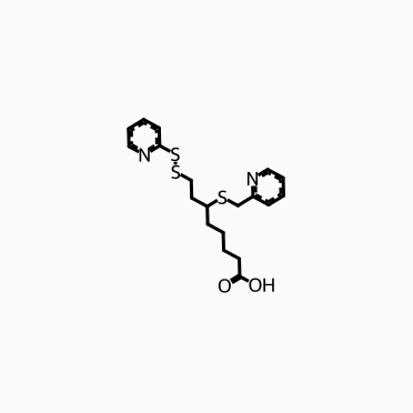 O=C(O)CCCCC(CCSSc1ccccn1)SCc1ccccn1